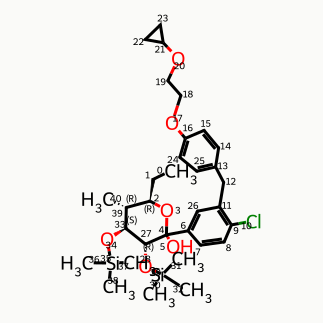 CC[C@H]1OC(O)(c2ccc(Cl)c(Cc3ccc(OCCOC4CC4)cc3)c2)[C@H](O[Si](C)(C)C)[C@@H](O[Si](C)(C)C)[C@@H]1C